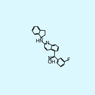 ON=C(c1cccc(F)c1)c1cccc2nc(N[C@@H]3CCc4ccccc43)ccc12